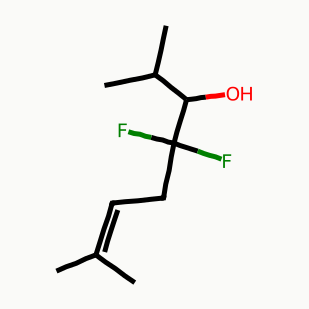 CC(C)=CCC(F)(F)C(O)C(C)C